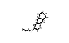 C=CCOc1ccc2cc3ccccc3cc2c1